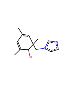 CC1=CC(C)(Cn2ccnc2)C(O)C(C)=C1